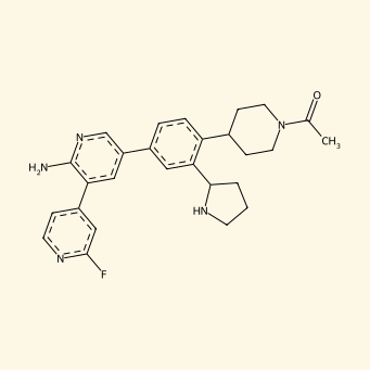 CC(=O)N1CCC(c2ccc(-c3cnc(N)c(-c4ccnc(F)c4)c3)cc2C2CCCN2)CC1